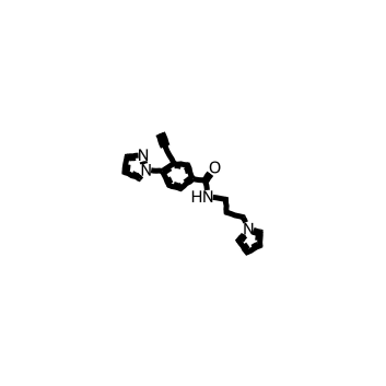 C#Cc1cc(C(=O)NCCCn2cccc2)ccc1-n1cccn1